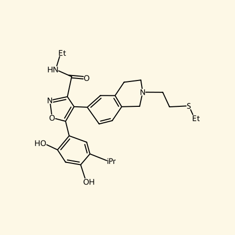 CCNC(=O)c1noc(-c2cc(C(C)C)c(O)cc2O)c1-c1ccc2c(c1)CCN(CCSCC)C2